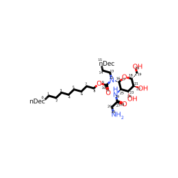 CCCCCCCCCCCCCCCCCCOC(=O)N(CCCCCCCCCCCC)[C@@H]1O[C@H](CO)[C@@H](O)[C@H](O)[C@H]1NC(=O)CN